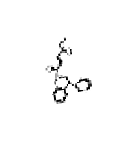 COC(=O)/C=C/C(=O)N1Cc2ccccc2[C@H](c2ccccc2)C1